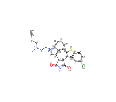 C#CCCN(C)CCn1cc(C2=C(c3csc4ccc(Cl)cc34)C(=O)NC2=O)c2ccccc21